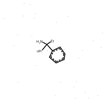 CCCC(N)(CC)c1c[c]ccc1